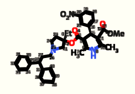 CC[C@]1(OC(=O)C2=C(C)NC(C)=C(C(=O)OC)[C@@H]2c2cccc([N+](=O)[O-])c2)CCN(CCC(c2ccccc2)c2ccccc2)C1